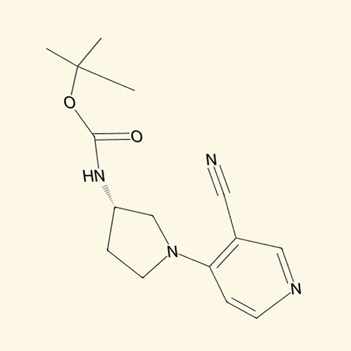 CC(C)(C)OC(=O)N[C@H]1CCN(c2ccncc2C#N)C1